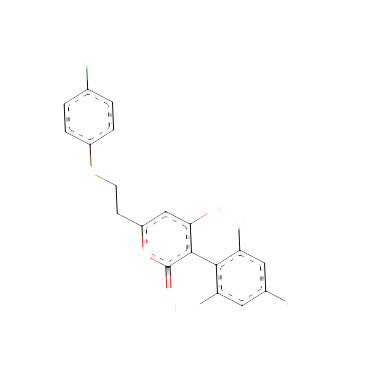 Cc1cc(C)c(-c2c(O)cc(CCSc3ccc(Cl)cc3)oc2=O)c(C)c1